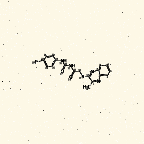 Cc1nc2ccccc2nc1SCC(=O)NC(=O)Nc1ccc(F)cc1